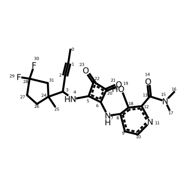 CC#CC(Nc1c(Nc2ccnc(C(=O)N(C)C)c2O)c(=O)c1=O)C1(C)CCC(F)(F)C1